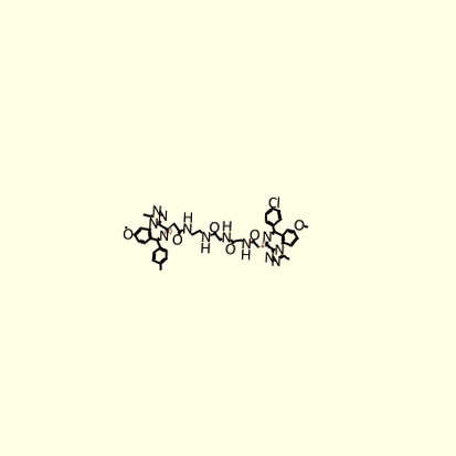 COc1ccc2c(c1)C(c1ccc(Cl)cc1)=N[C@@H](CC(=O)NCC(=O)NCC(=O)NCCNC(=O)C[C@H]1N=C(c3ccc(C)cc3)c3ccc(OC)cc3-n3c(C)nnc31)c1nnc(C)n1-2